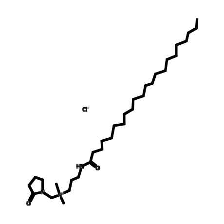 CCCCCCCCCCCCCCCCCCCCCC(=O)NCCC[N+](C)(C)CN1CCCC1=O.[Cl-]